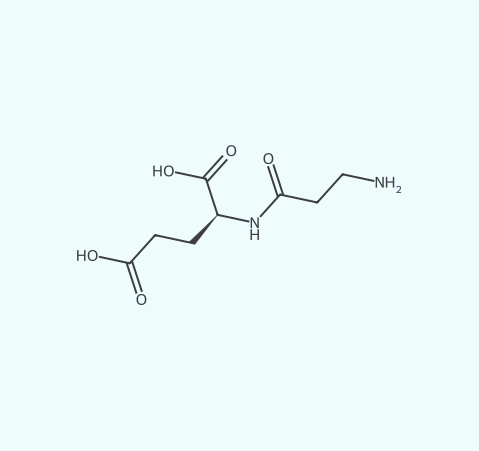 NCCC(=O)N[C@@H](CCC(=O)O)C(=O)O